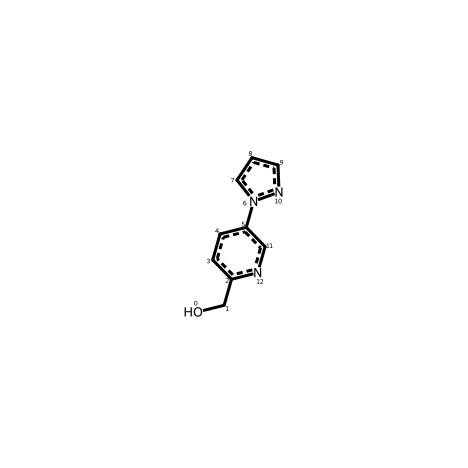 OCc1ccc(-n2cccn2)cn1